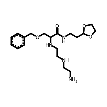 NCCNCCNC(COCc1ccccc1)C(=O)NCCC1OCCO1